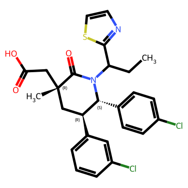 CCC(c1nccs1)N1C(=O)[C@@](C)(CC(=O)O)C[C@H](c2cccc(Cl)c2)[C@H]1c1ccc(Cl)cc1